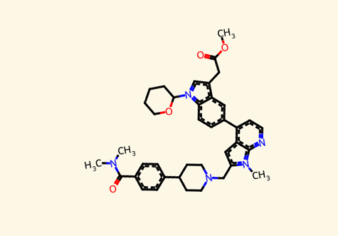 COC(=O)Cc1cn(C2CCCCO2)c2ccc(-c3ccnc4c3cc(CN3CCC(c5ccc(C(=O)N(C)C)cc5)CC3)n4C)cc12